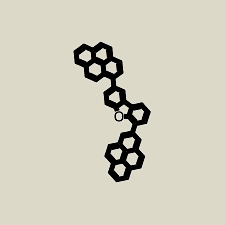 c1cc2ccc3cc(-c4cccc5c4oc4ccc(-c6ccc7ccc8cccc9ccc6c7c89)cc45)cc4ccc(c1)c2c34